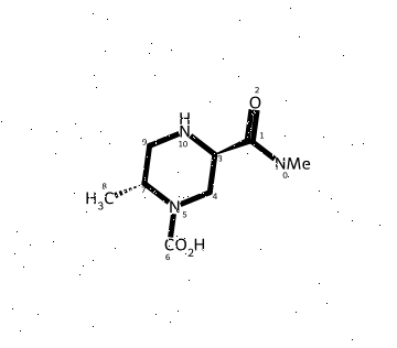 CNC(=O)[C@H]1CN(C(=O)O)[C@H](C)CN1